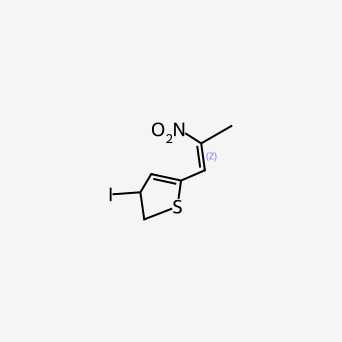 C/C(=C/C1=CC(I)CS1)[N+](=O)[O-]